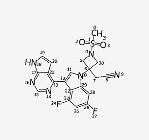 CS(=O)(=O)N1CC(CC#N)(n2cc(-c3ncnc4[nH]ccc34)c3c(F)cc(F)cc32)C1